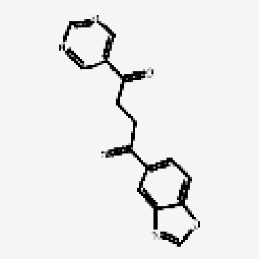 O=C(CCC(=O)c1ccc2ocnc2c1)c1cncnc1